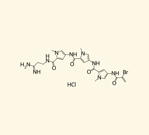 C=C(Br)C(=O)Nc1cc(C(=O)Nc2cc(C(=O)Nc3cc(C(=O)NCCC(=N)N)n(C)c3)n(C)c2)n(C)c1.Cl